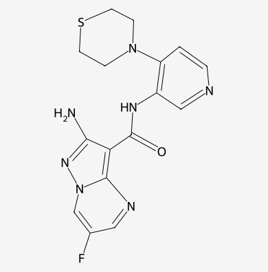 Nc1nn2cc(F)cnc2c1C(=O)Nc1cnccc1N1CCSCC1